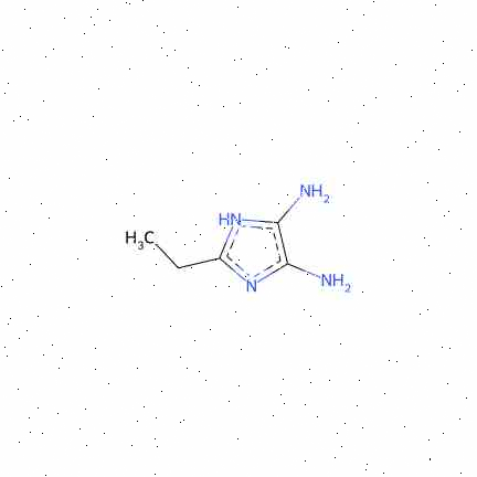 CCc1nc(N)c(N)[nH]1